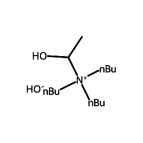 CCCC[N+](CCCC)(CCCC)C(C)O.[OH-]